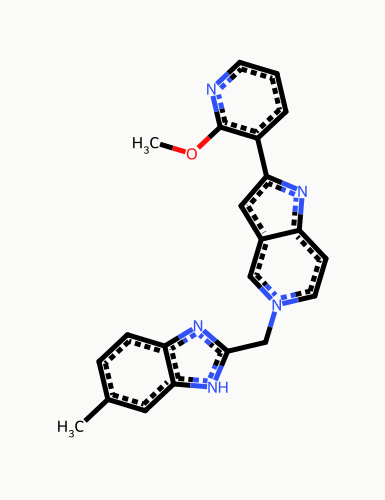 COc1ncccc1-c1cc2cn(Cc3nc4ccc(C)cc4[nH]3)ccc-2n1